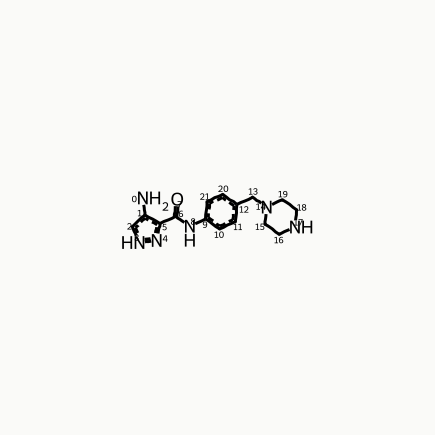 Nc1c[nH]nc1C(=O)Nc1ccc(CN2CCNCC2)cc1